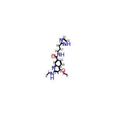 CCNc1cc(OCC)c2ccc(C(=O)NCCCc3ncc[nH]3)cc2n1